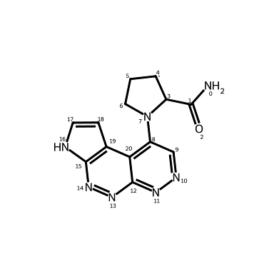 NC(=O)C1[CH]CCN1c1cnnc2nnc3[nH]ccc3c12